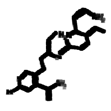 C=C(N)c1cc(CC)ncc1CCC(=C/C)/N=C(C)/C=C\C(=C/C)C(N)/C=C\N